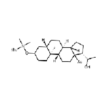 CC(=O)C12CC[C@H]3[C@@H](CC[C@H]4CC(O[Si](C)(C)C(C)(C)C)CC[C@@]43C)[C@@H]1CC[C@@H]2C(C)O